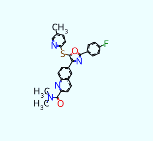 Cc1ccc(Sc2oc(-c3ccc(F)cc3)nc2-c2ccc3nc(C(=O)N(C)C)ccc3c2)nc1